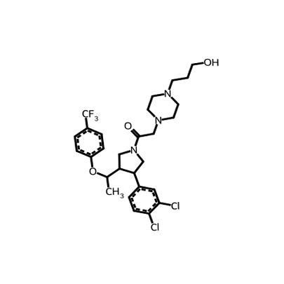 CC(Oc1ccc(C(F)(F)F)cc1)C1CN(C(=O)CN2CCN(CCCO)CC2)CC1c1ccc(Cl)c(Cl)c1